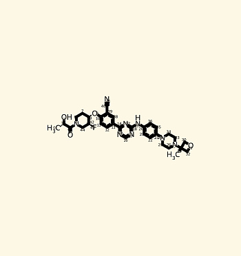 C[C@H](O)C(=O)N1CC[C@H](Oc2ccc(-c3ncnc(Nc4ccc(N5CCN(C6(C)COC6)CC5)cc4)n3)cc2C#N)[C@@H](F)C1